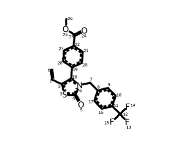 C=Cc1sc(=O)n(Cc2ccc(C(F)(F)F)cc2)c1-c1ccc(C(=O)OC)cc1